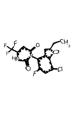 CCc1cc2c(-n3c(=O)cc(C(F)(F)F)[nH]c3=O)c(F)cc(Cl)c2o1